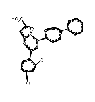 O=C(O)c1cc2nc(-c3ccc(Cl)cc3Cl)cc(-c3ccc(-c4ccccc4)cc3)n2n1